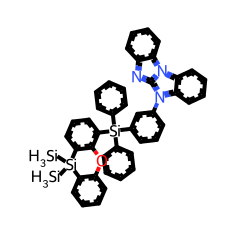 [SiH3][Si]1([SiH3])c2ccccc2Oc2c1cccc2[Si](c1ccccc1)(c1ccccc1)c1cccc(-n2c3ccccc3n3c4ccccc4nc23)c1